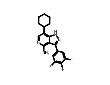 Nc1ncc(C2CCCCC2)c2[nH]nc(-c3cc(F)c(F)c(F)c3)c12